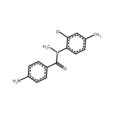 Cc1ccc(N(C)C(=O)c2ccc(N)cc2)c(Cl)c1